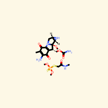 CNC(=O)CSP(=S)(OC)OC.CO[C@@]12[C@H](COC(N)=O)C3=C(C(=O)C(C)=C(N)C3=O)N1C[C@@H]1N[C@@H]12